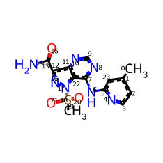 Cc1ccnc(Nc2ncnc3c(C(N)=O)nn(S(C)(=O)=O)c23)c1